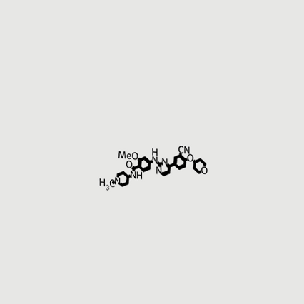 COc1cc(Nc2nccc(-c3ccc(OC4CCOCC4)c(C#N)c3)n2)ccc1C(=O)NC1CCN(C)CC1